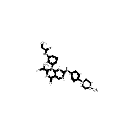 C=CC(=O)Nc1cccc(-n2c(C(N)=O)nc(=O)c3cnc(Nc4ccc(N5CCN(C)CC5)cc4)nc32)c1